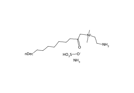 CCCCCCCCCCCCCCCCCC(=O)C[N+](C)(C)CCN.N.O=S(=O)([O-])O